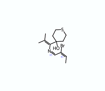 C/C=C(Br)\C=N/C(=C(C)C)C1(O)CCSCC1